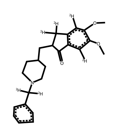 [2H]c1c(OC)c(OC)c([2H])c2c1C(=O)C(CC1CCN(C([2H])([2H])c3ccccc3)CC1)C2([2H])[2H]